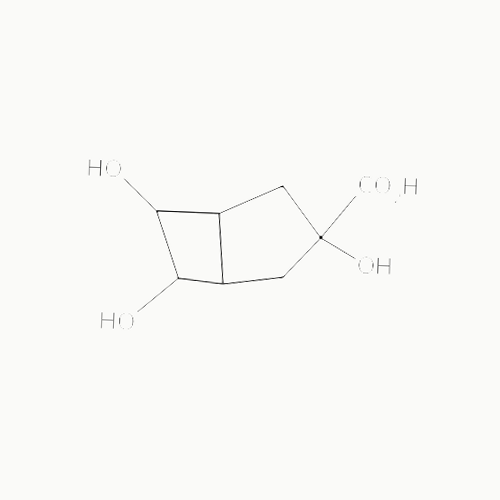 O=C(O)C1(O)CC2C(O)C(O)C2C1